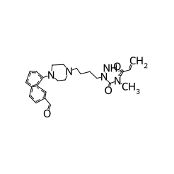 C=CC(=O)N(C)C(=O)N(N)CCCCN1CCN(c2cccc3ccc(C=O)cc23)CC1